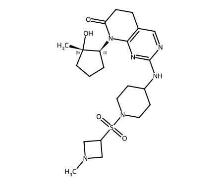 CN1CC(S(=O)(=O)N2CCC(Nc3ncc4c(n3)N([C@H]3CCC[C@]3(C)O)C(=O)CC4)CC2)C1